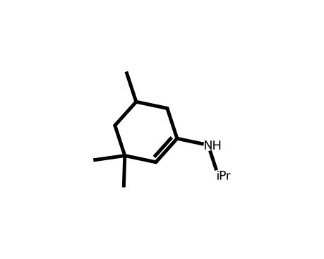 CC1CC(NC(C)C)=CC(C)(C)C1